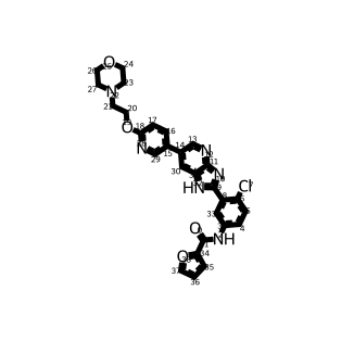 O=C(Nc1ccc(Cl)c(-c2nc3ncc(-c4ccc(OCCN5CCOCC5)nc4)cc3[nH]2)c1)c1ccco1